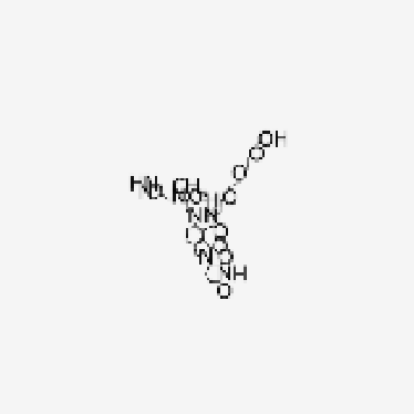 CN(Cc1cn[nH]c1)C(=O)CNc1ccc2c(c1C(=O)NCCOCCOCCOCO)C(=O)N(C1CCC(=O)NC1=O)C2